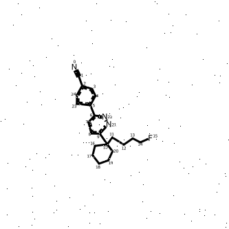 N#Cc1ccc(-c2ccc(C3(CCCCF)CCCCC3)nn2)cc1